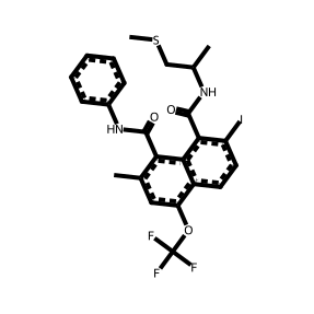 CSCC(C)NC(=O)c1c(I)ccc2c(OC(F)(F)F)cc(C)c(C(=O)Nc3ccccc3)c12